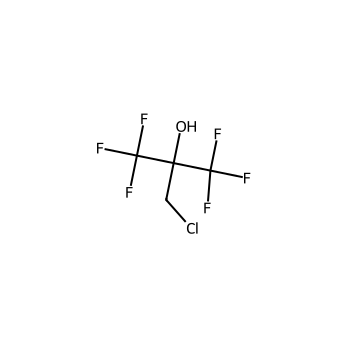 OC(CCl)(C(F)(F)F)C(F)(F)F